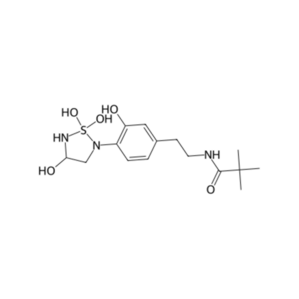 CC(C)(C)C(=O)NCCc1ccc(N2CC(O)NS2(O)O)c(O)c1